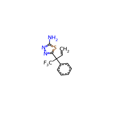 C=CC(c1ccccc1)(c1nnc(N)s1)C(F)(F)F